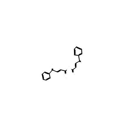 O=C(/C=C/C(=O)c1ccccc1)OC(=O)/C=C/C(=O)c1ccccc1